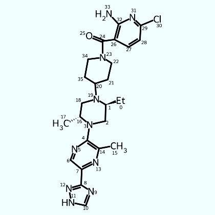 CC[C@H]1CN(c2ncc(-c3nc[nH]n3)nc2C)[C@H](C)CN1C1CCN(C(=O)c2ccc(Cl)nc2N)CC1